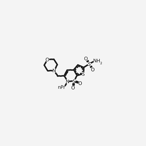 CCCN1C(CN2CCOCC2)=Cc2cc(S(N)(=O)=O)sc2S1(=O)=O